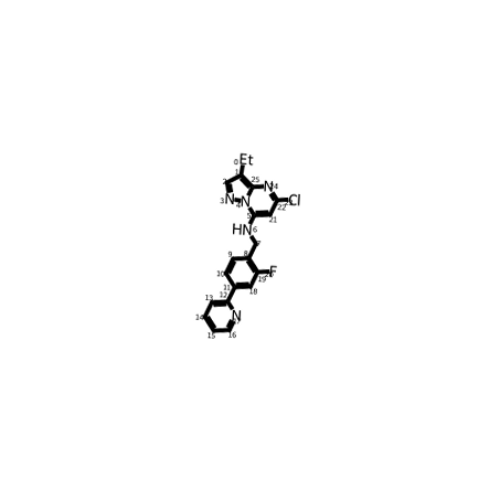 CCc1cnn2c(NCc3ccc(-c4ccccn4)cc3F)cc(Cl)nc12